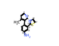 Cc1ccncc1-c1ccc(N)cc1-c1nccs1